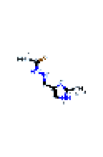 CSC(=S)NN=Cc1c[nH]c(C)n1